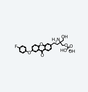 NC(CO)(CCc1ccc2c(=O)c3cc(Oc4ccc(F)cc4)ccc3oc2c1)COP(=O)(O)O